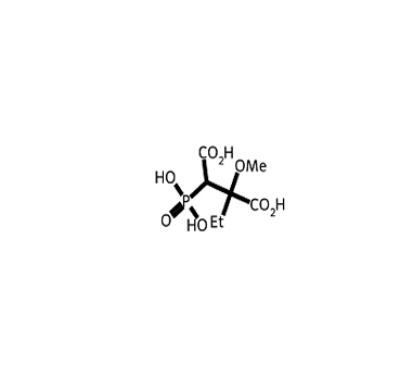 CCC(OC)(C(=O)O)C(C(=O)O)P(=O)(O)O